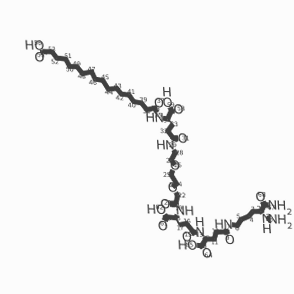 NNC(CCCCNC(=O)CCC(NC(=O)CC[C@H](NC(=O)COCCOCCNC(=O)CC[C@H](NC(=O)CCCCCCCCCCCCCCCCC(=O)O)C(=O)O)C(=O)O)C(=O)O)C(N)=O